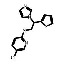 Clc1ccc(SCC(c2cccs2)n2ccnc2)nc1